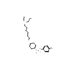 CCN(CCO)CCCCCCO[C@H]1CC[C@H](N(C)S(=O)(=O)c2ccc(Br)cc2)CC1